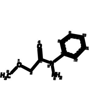 COCC(=O)N(N)c1ccccc1